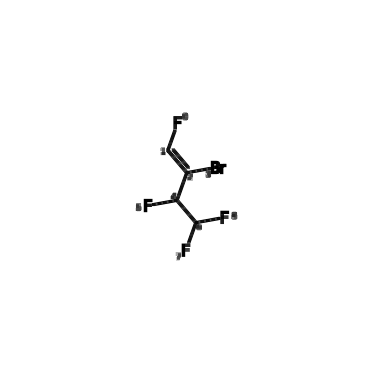 FC=C(Br)C(F)C(F)F